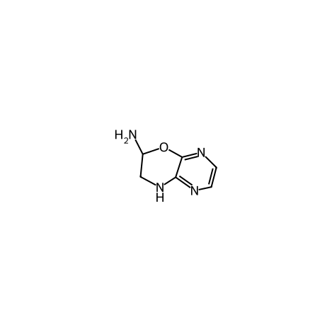 NC1CNc2nccnc2O1